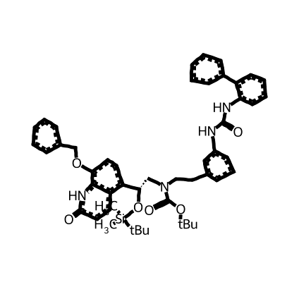 CC(C)(C)OC(=O)N(CCc1cccc(NC(=O)Nc2ccccc2-c2ccccc2)c1)C[C@H](O[Si](C)(C)C(C)(C)C)c1ccc(OCc2ccccc2)c2[nH]c(=O)ccc12